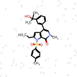 Cc1ccc(S(=O)(=O)n2c(CC(=O)O)cc3c(-c4cccc(C(C)(C)O)c4)cn(C)c(=O)c32)cc1